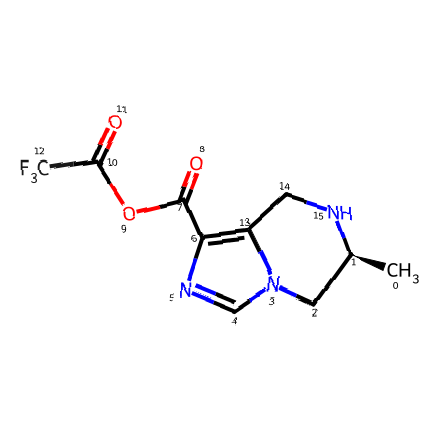 C[C@H]1Cn2cnc(C(=O)OC(=O)C(F)(F)F)c2CN1